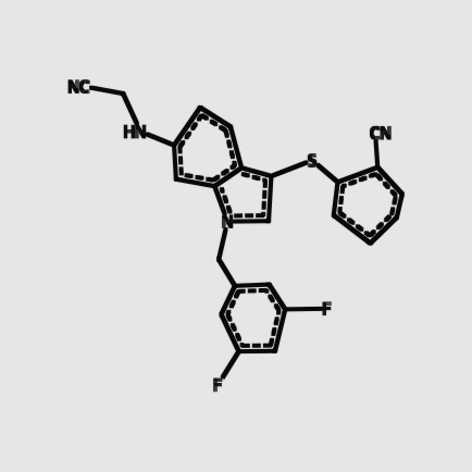 N#CCNc1ccc2c(Sc3ccccc3C#N)cn(Cc3cc(F)cc(F)c3)c2c1